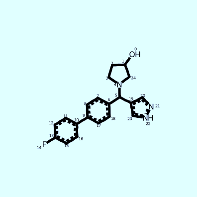 OC1CCN(C(c2ccc(-c3ccc(F)cc3)cc2)c2cn[nH]c2)C1